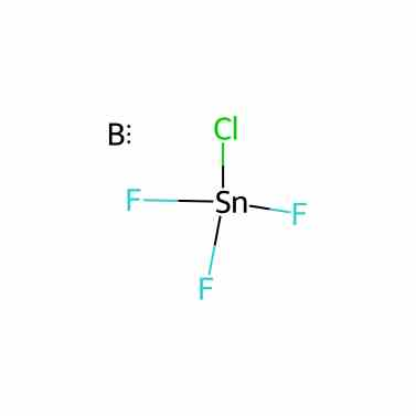 [B].[F][Sn]([F])([F])[Cl]